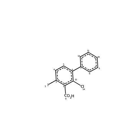 O=C(O)c1c(I)ccc(-c2ccccc2)c1Cl